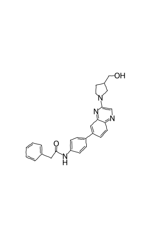 O=C(Cc1ccccc1)Nc1ccc(-c2ccc3ncc(N4CCC(CO)C4)nc3c2)cc1